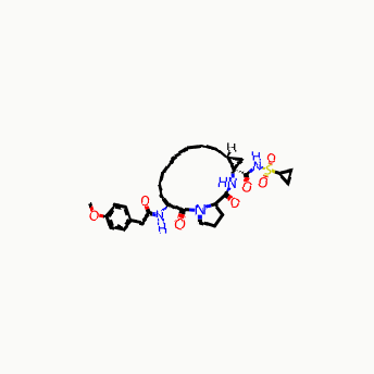 COc1ccc(CC(=O)N[C@H]2CCCCCCC[C@@H]3C[C@@]3(C(=O)NS(=O)(=O)C3CC3)NC(=O)C3CCCN3C2=O)cc1